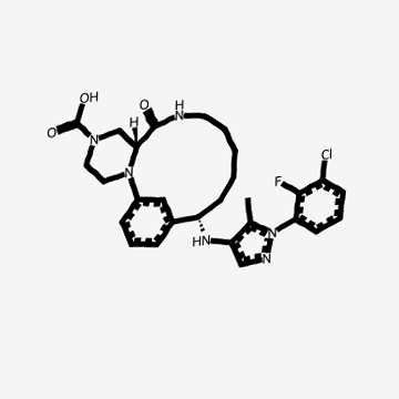 Cc1c(N[C@H]2CCCCCNC(=O)[C@H]3CN(C(=O)O)CCN3c3cccc2c3)cnn1-c1cccc(Cl)c1F